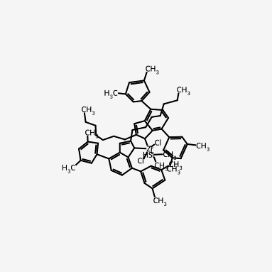 CCCCCCCC1=Cc2c(-c3cc(C)cc(C)c3)ccc(-c3cc(C)cc(C)c3)c2[CH]1[Zr]([Cl])([Cl])([CH]1C(CCCCCCC)=Cc2c(-c3cc(C)cc(C)c3)ccc(-c3cc(C)cc(C)c3)c21)[SiH](C)C